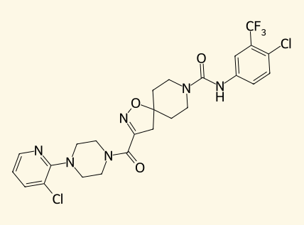 O=C(Nc1ccc(Cl)c(C(F)(F)F)c1)N1CCC2(CC1)CC(C(=O)N1CCN(c3ncccc3Cl)CC1)=NO2